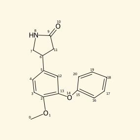 COc1ccc(C2CNC(=O)C2)cc1Oc1ccccc1